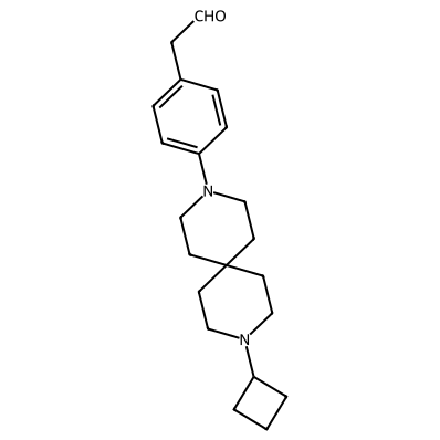 O=CCc1ccc(N2CCC3(CC2)CCN(C2CCC2)CC3)cc1